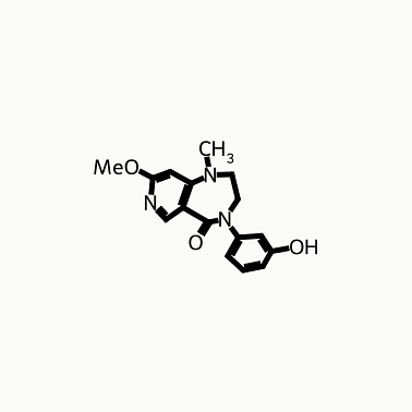 COc1cc2c(cn1)C(=O)N(c1cccc(O)c1)CCN2C